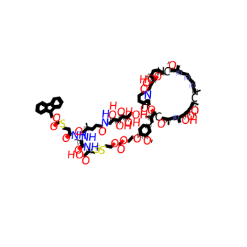 CO[C@H]1C[C@@H]2CC[C@@H](C)[C@@](O)(O2)C(=O)C(=O)N2CCCC[C@H]2C(=O)O[C@H]([C@H](C)C[C@@H]2CC[C@@H](OCCOC(=O)OCCSSC[C@H](NC(=O)[C@H](CNC(=O)CCSC(=O)OCC3c4ccccc4-c4ccccc43)NC(=O)[C@@H](C)CCC(=O)NC[C@H](O)[C@@H](O)[C@H](O)[C@H](O)CO)C(=O)O)[C@H](OC)C2)CC(=O)[C@H](C)/C=C(\C)[C@@H](O)[C@@H](OC)C(=O)[C@H](C)C[C@H](C)/C=C/C=C/C=C/1C